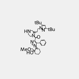 COC[C@]1(O)CCCC[C@H]1n1cnc(C(=O)N2CCNC[C@H]2CCn2nc(C(C)(C)C)cc2C(C)(C)C)c1-c1ccccc1